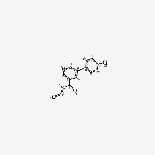 O=S=NC(=O)c1cncc(-c2ccc(Cl)cc2)c1